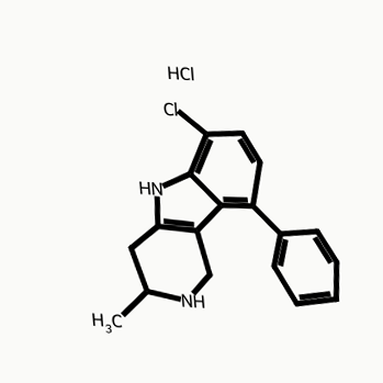 CC1Cc2[nH]c3c(Cl)ccc(-c4ccccc4)c3c2CN1.Cl